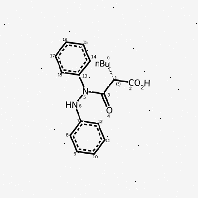 CCCC[C@H](C(=O)O)C(=O)N(Nc1ccccc1)c1ccccc1